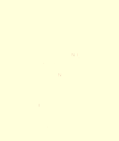 CSCC[C@H](N)C(=O)NCc1cccc(Cl)c1F